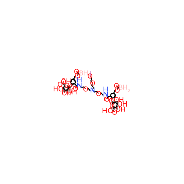 BC(=O)OCc1ccc(O[C@@H]2O[C@H](C(=O)O)[C@@H](O)[C@H](O)[C@H]2O)c(C(=O)NCCOCCN(CCOCCNC(=O)c2cc(COC(B)=O)ccc2O[C@@H]2O[C@H](C(=O)O)[C@@H](O)[C@H](O)[C@H]2O)CCOCCOI)c1